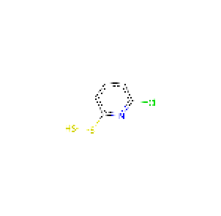 SSc1cccc(Cl)n1